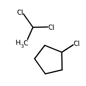 CC(Cl)Cl.ClC1CCCC1